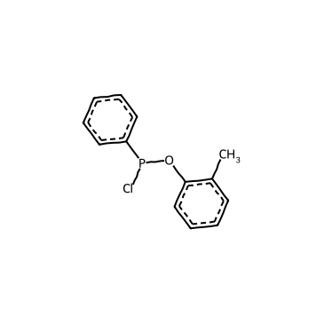 Cc1ccccc1OP(Cl)c1ccccc1